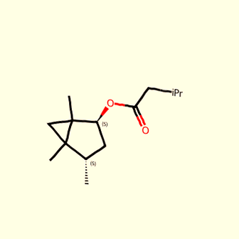 CC(C)CC(=O)O[C@H]1C[C@H](C)C2(C)CC12C